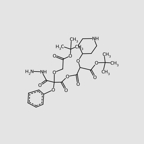 CC(C)(C)OC(=O)COC(Oc1ccccc1)(C(=O)NN)C(=O)OC(=O)C(OC1CCNCC1)C(=O)OC(C)(C)C